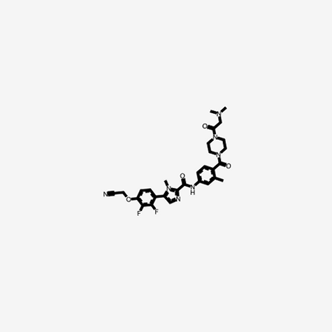 Cc1cc(NC(=O)c2ncc(-c3ccc(OCC#N)c(F)c3F)n2C)ccc1C(=O)N1CCN(C(=O)CN(C)C)CC1